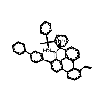 C=Cc1cccc(-c2ccc(-c3ccc(-c4ccccc4)cc3)cc2)c1-c1cccc(C(=N)NNC(C)(c2ccccc2)c2ccccc2)c1C